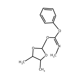 CN=C(Oc1ccccc1)OC1OC(C)C(C)O1